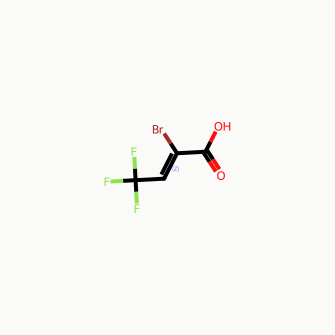 O=C(O)/C(Br)=C/C(F)(F)F